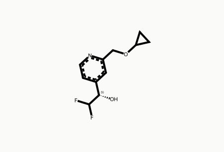 O[C@@H](c1ccnc(COC2CC2)c1)C(F)F